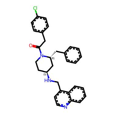 O=C(Cc1ccc(Cl)cc1)N1CC[C@H](NCc2ccnc3ccccc23)C[C@H]1Cc1ccccc1